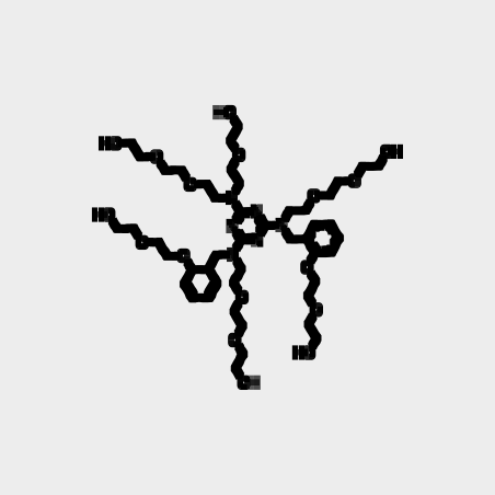 OCCOCCOCCN(CCOCCO)c1nc(N(CCOCCOCCO)Cc2ccccc2OCCOCCO)nc(N(CCOCCOCCO)CC2C=CC=CC2OCCOCCO)n1